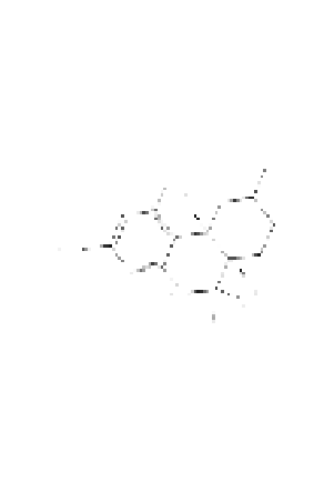 CCCCCc1cc(O)c2c(c1)OC(C)(C)[C@H]1CCC(C)C[C@@H]21